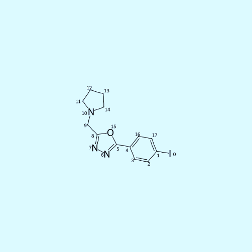 Ic1ccc(-c2nnc(CN3CCCC3)o2)cc1